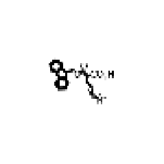 [N-]=[N+]=NCCC(C(=O)O)C(=O)OCC1c2ccccc2-c2ccccc21